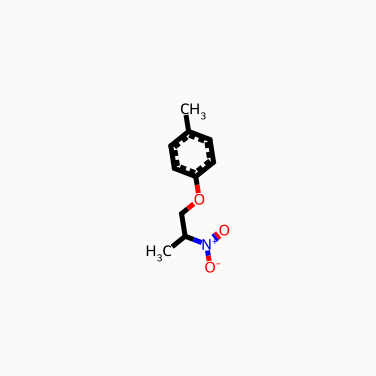 Cc1ccc(OCC(C)[N+](=O)[O-])cc1